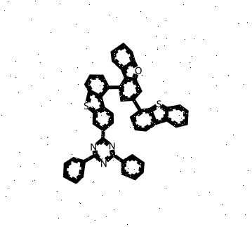 c1ccc(-c2nc(-c3ccccc3)nc(-c3ccc4c(c3)sc3cccc(-c5cc(-c6cccc7c6sc6ccccc67)cc6oc7ccccc7c56)c34)n2)cc1